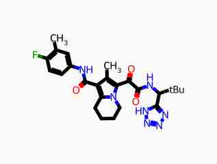 Cc1cc(NC(=O)c2c(C)c(C(=O)C(=O)NC(c3nnn[nH]3)C(C)(C)C)n3c2CCCC3)ccc1F